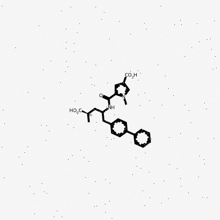 C[C@H](CC(Cc1ccc(-c2ccccc2)cc1)NC(=O)c1cc(C(=O)O)cn1C)C(=O)O